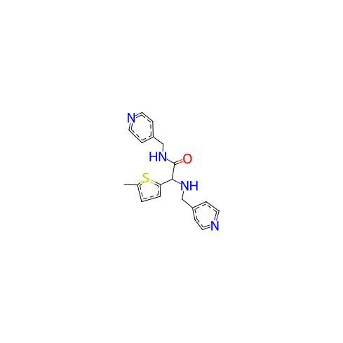 Cc1ccc(C(NCc2ccncc2)C(=O)NCc2ccncc2)s1